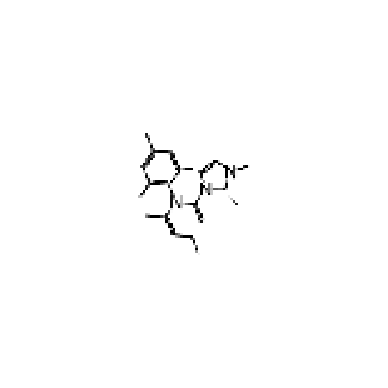 C=C(N(/C(C)=C\CC)c1c(C)cc(C)cc1C)N1C=CN(C)[C@@H]1C